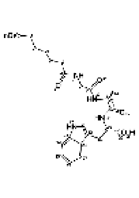 CCCCCCCCCCCCCCCC(=O)NCC(=O)N[C@@H](C)C(=O)N[C@@H](Cc1c[nH]c2ccccc12)C(=O)O